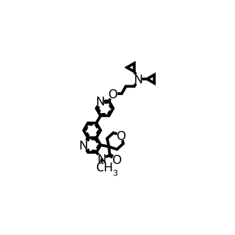 CN1C(=O)C2(CCOCC2)c2c1cnc1ccc(-c3ccc(OCCCN(C4CC4)C4CC4)nc3)cc21